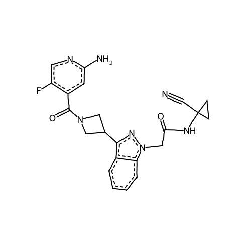 N#CC1(NC(=O)Cn2nc(C3CN(C(=O)c4cc(N)ncc4F)C3)c3ccccc32)CC1